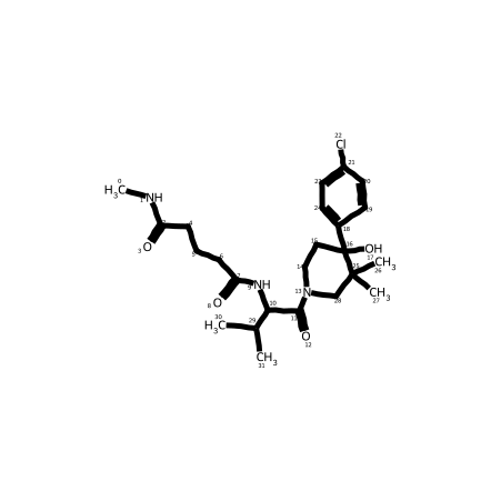 CNC(=O)CCCC(=O)NC(C(=O)N1CCC(O)(c2ccc(Cl)cc2)C(C)(C)C1)C(C)C